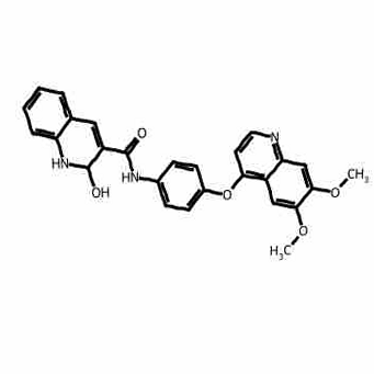 COc1cc2nccc(Oc3ccc(NC(=O)C4=Cc5ccccc5NC4O)cc3)c2cc1OC